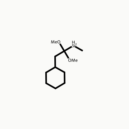 COC(CC1CCCCC1)(OC)[SiH2]C